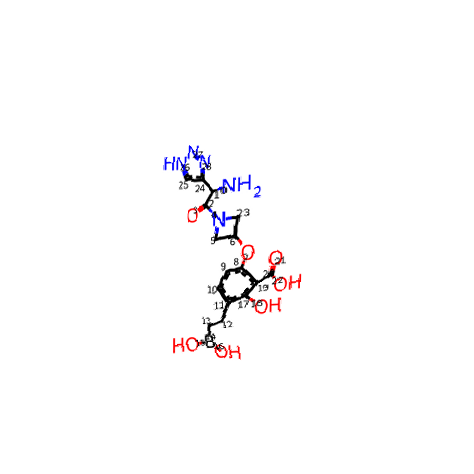 NC(C(=O)N1CC(Oc2ccc(CCB(O)O)c(O)c2C(=O)O)C1)c1c[nH]nn1